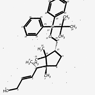 C[C@@H](C=CCO)[C@@]1(C)CC[C@@H](CO[Si](c2ccccc2)(c2ccccc2)C(C)(C)C)C1(C)C